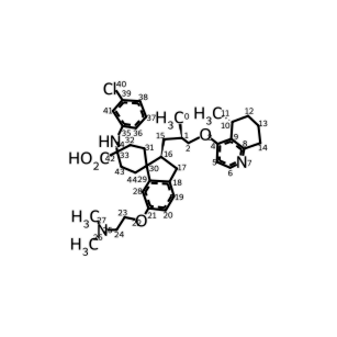 C[C@@H](COc1ccnc2c1[C@H](C)CCC2)C[C@H]1Cc2ccc(OCCN(C)C)cc2C12CCC(Nc1cccc(Cl)c1)(C(=O)O)CC2